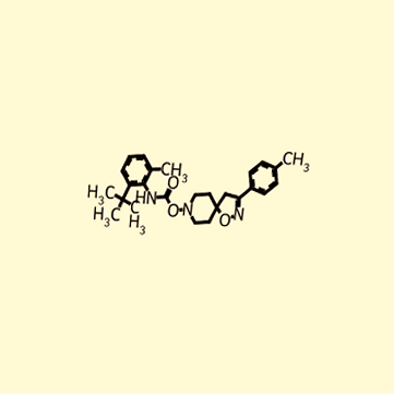 Cc1ccc(C2=NOC3(CCN(OC(=O)Nc4c(C)cccc4C(C)(C)C)CC3)C2)cc1